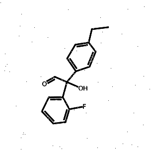 CCc1ccc(C(O)(C=O)c2ccccc2F)cc1